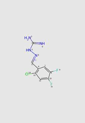 N=C(N)N/N=C/c1cc(F)c(F)cc1Cl